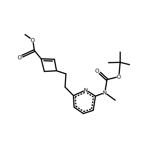 COC(=O)C1=CC(CCc2cccc(N(C)C(=O)OC(C)(C)C)n2)C1